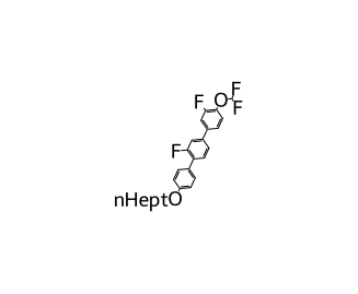 CCCCCCCOc1ccc(-c2ccc(-c3ccc(OC(F)F)c(F)c3)cc2F)cc1